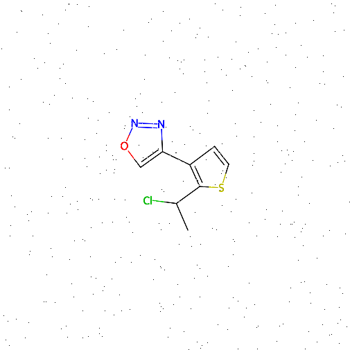 CC(Cl)c1sccc1-c1conn1